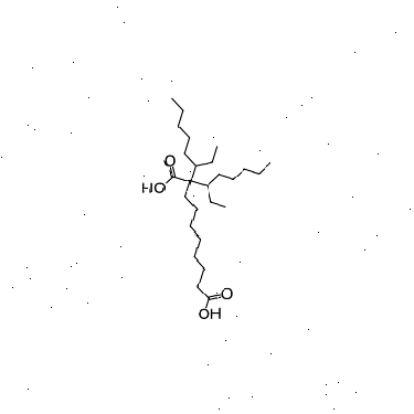 CCCCCC(CC)C(CCCCCCCC(=O)O)(C(=O)O)C(CC)CCCCC